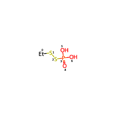 CCSSP(=O)(O)O